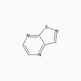 [c]1nsc2nccnc12